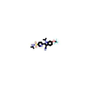 CC(C)NS(=O)(=O)c1ccc(-c2c(C#N)c3ccc(OC(F)(F)F)cc3n2C(C)C)nc1